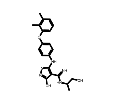 Cc1cccc(Oc2ccc(Nc3snc(O)c3C(=N)NC(C)CO)cc2)c1C